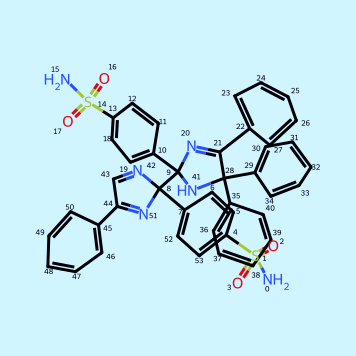 NS(=O)(=O)c1ccc(C2(C3(c4ccc(S(N)(=O)=O)cc4)N=C(c4ccccc4)C(c4ccccc4)(c4ccccc4)N3)N=CC(c3ccccc3)=N2)cc1